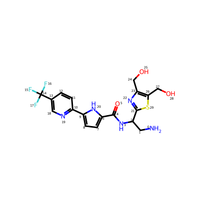 NCC(NC(=O)c1ccc(-c2ccc(C(F)(F)F)cn2)[nH]1)c1nc(CO)c(CO)s1